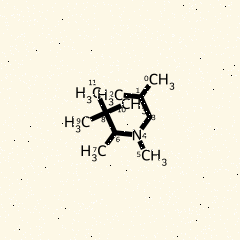 CC(C)CN(C)C(C)C(C)(C)C